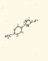 [CH2]c1ccc(-c2ncc(F)s2)cc1